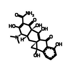 CN(C)[C@@H]1C(O)=C(C(N)=O)C(=O)[C@@]2(O)C(O)=C3C(=O)c4c(O)cccc4[C@]4(O)C[C@]34C[C@@H]12